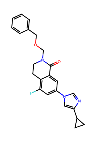 O=C1c2cc(-n3cnc(C4CC4)c3)cc(F)c2CCN1COCc1ccccc1